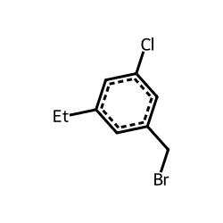 CCc1cc(Cl)cc(CBr)c1